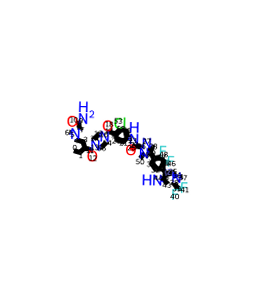 CCC(CCN(C)CC(N)=O)C(=O)N1CCN(C(=O)c2ccc(NC(=O)c3ncc(-c4ccc(/C(=C/N(C)CC(F)F)C(C)=N)c(F)c4F)n3C)cc2Cl)CC1